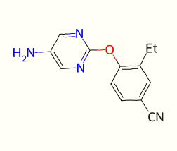 CCc1cc(C#N)ccc1Oc1ncc(N)cn1